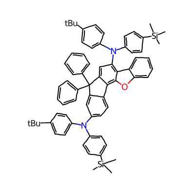 CC(C)(C)c1ccc(N(c2ccc([Si](C)(C)C)cc2)c2ccc3c(c2)C(c2ccccc2)(c2ccccc2)c2cc(N(c4ccc(C(C)(C)C)cc4)c4ccc([Si](C)(C)C)cc4)c4c(oc5ccccc54)c2-3)cc1